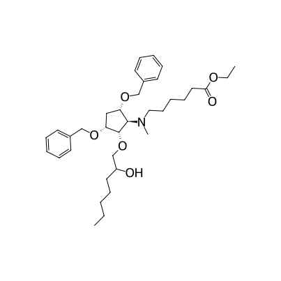 CCCCCC(O)CO[C@H]1[C@H](N(C)CCCCCC(=O)OCC)[C@@H](OCc2ccccc2)C[C@H]1OCc1ccccc1